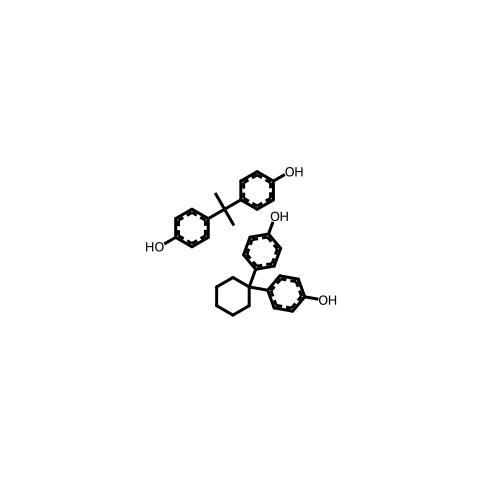 CC(C)(c1ccc(O)cc1)c1ccc(O)cc1.Oc1ccc(C2(c3ccc(O)cc3)CCCCC2)cc1